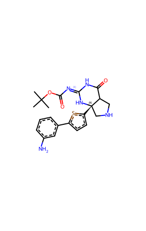 CC(C)(C)OC(=O)/N=C1/NC(=O)C2CNC[C@]2(c2ccc(-c3cccc(N)c3)s2)N1